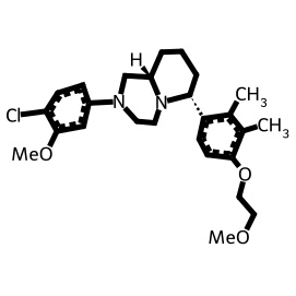 COCCOc1ccc([C@H]2CCC[C@H]3CN(c4ccc(Cl)c(OC)c4)CCN32)c(C)c1C